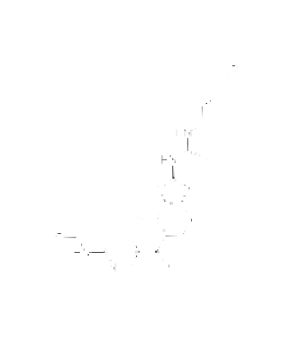 CCNc1ccc(C(=O)C2=C(O)c3sc(NC(=O)NCCCOC)nc3CC2)cn1